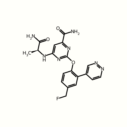 C[C@H](Nc1cc(C(N)=O)nc(Oc2ccc(CF)cc2-c2ccnnc2)n1)C(N)=O